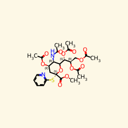 COC(=O)[C@@]1(Sc2ccccn2)C[C@@H](OC(C)=O)[C@@H](NC(C)=O)C([C@H](OC(C)=O)[C@@H](COC(C)=O)OC(C)=O)O1